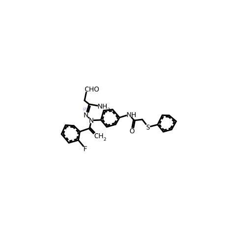 C=C(c1ccccc1F)N(/N=C(\N)CC=O)c1ccc(NC(=O)CSc2ccccc2)cc1